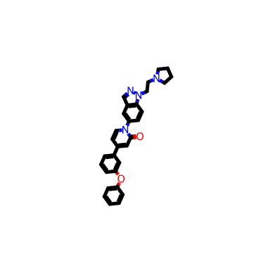 O=c1cc(-c2cccc(Oc3ccccc3)c2)ccn1-c1ccc2c(cnn2CCN2CCCC2)c1